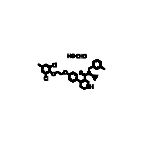 Cc1cccc(CN(C(=O)C2=C(c3ccc(OCCOc4c(Cl)cc(C)cc4Cl)cc3)CCNC2)C2CC2)c1.O=CO